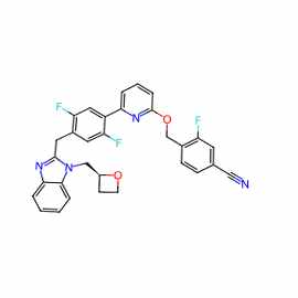 N#Cc1ccc(COc2cccc(-c3cc(F)c(Cc4nc5ccccc5n4C[C@@H]4CCO4)cc3F)n2)c(F)c1